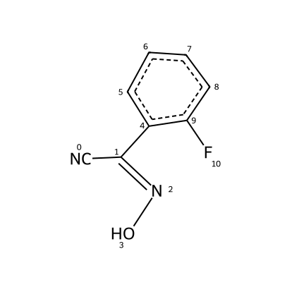 N#CC(=NO)c1ccccc1F